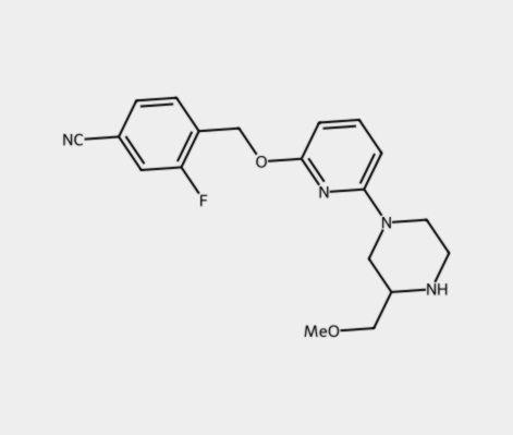 COCC1CN(c2cccc(OCc3ccc(C#N)cc3F)n2)CCN1